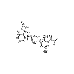 CNC(=O)c1cc(Br)cc(-c2ccc(NC[C@]3(c4ncccc4F)C[C@H](F)C3)nn2)c1O